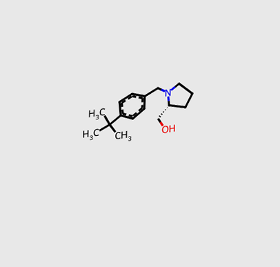 CC(C)(C)c1ccc(CN2CCC[C@@H]2CO)cc1